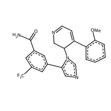 COc1ccccc1C1=CC=NCC1n1cncc1-c1cc(C(N)=O)cc(C(F)(F)F)c1